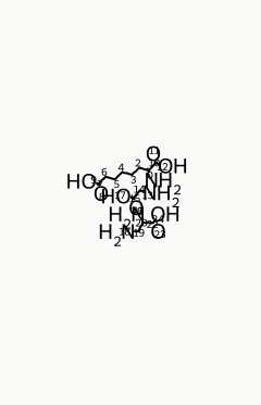 NC(CCCCCC(=O)O)C(=O)O.NCC(=O)O.NCC(N)C(=O)O